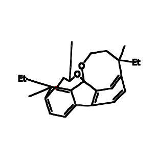 CCC1(C)CCOC23OC(C)CCC(C)(CC)c4ccc(c2c4)-c2ccc1cc23